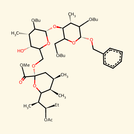 CC[C@@H](OC(C)=O)[C@@H](C)C1O[C@@](OCC2O[C@@H](O[C@@H]3C(COCC(C)C)O[C@@H](OCc4ccccc4)C(OCC(C)C)[C@H]3C)C(OCC(C)C)[C@@H](C)[C@H]2O)(C(=O)OC)C[C@@H](C)[C@H]1C